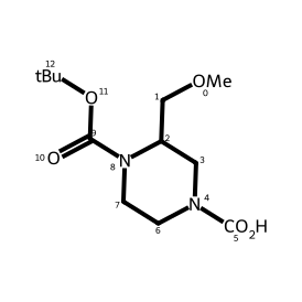 COCC1CN(C(=O)O)CCN1C(=O)OC(C)(C)C